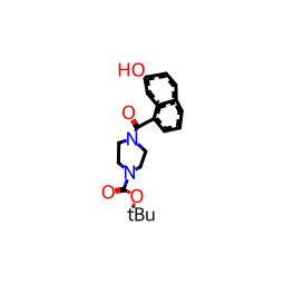 CC(C)(C)OC(=O)N1CCN(C(=O)c2cccc3ccc(O)cc23)CC1